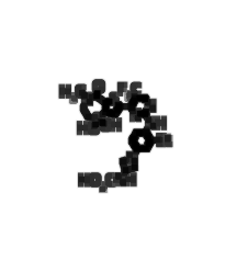 CCc1cc(N2CC(NC(=O)O)C2)ccc1Nc1ncc(C(F)(F)F)c(-c2cc3c(s2)C(=O)N(C)CCS3(O)O)n1